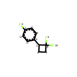 Fc1ccc(C2CCC2(F)F)cc1